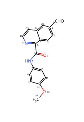 O=Cc1ccc2c(C(=O)Nc3ccc(OC(F)(F)F)cc3)nccc2c1